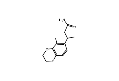 Cc1c(C(C)CC(N)=O)ccc2c1OCCO2